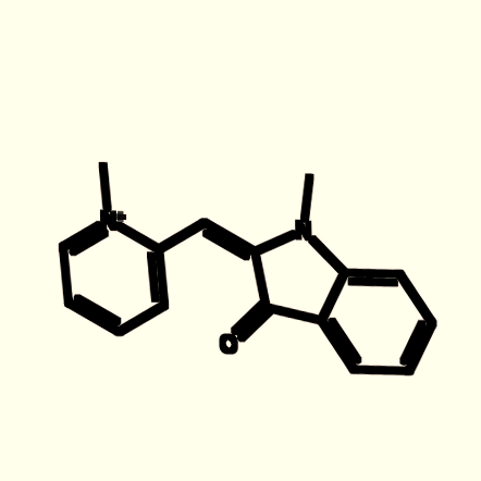 CN1/C(=C/c2cccc[n+]2C)C(=O)c2ccccc21